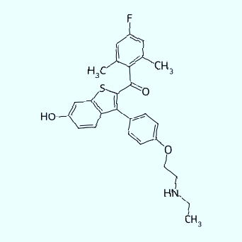 CCNCCOc1ccc(-c2c(C(=O)c3c(C)cc(F)cc3C)sc3cc(O)ccc23)cc1